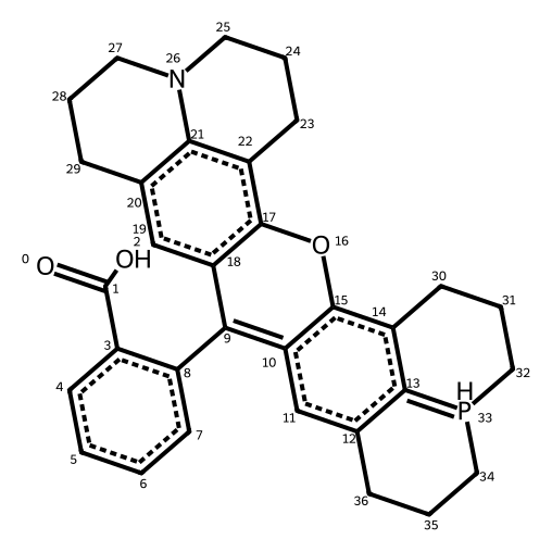 O=C(O)c1ccccc1C1=c2cc3c4c(c2Oc2c1cc1c5c2CCCN5CCC1)CCC[PH]=4CCC3